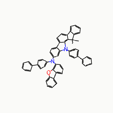 CC1(C)c2ccccc2-c2ccc3c4ccc(N(c5ccc(-c6ccccc6)cc5)c5cccc6c5oc5ccccc56)cc4n(-c4ccc(-c5ccccc5)cc4)c3c21